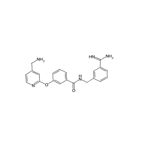 N=C(N)c1cccc(CNC(=O)c2cccc(Oc3cc(CN)ccn3)c2)c1